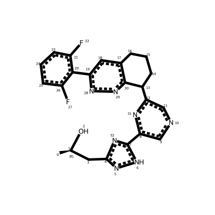 C[C@@H](O)Cc1n[nH]c(-c2cncc(C3CCCc4cc(-c5c(F)cccc5F)nnc43)n2)n1